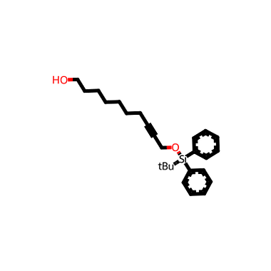 CC(C)(C)[Si](OCC#CCCCCCCCO)(c1ccccc1)c1ccccc1